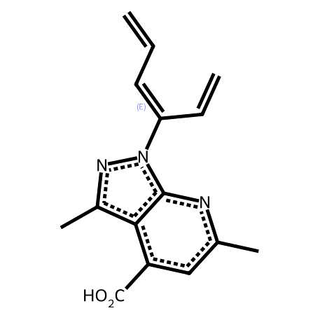 C=C/C=C(\C=C)n1nc(C)c2c(C(=O)O)cc(C)nc21